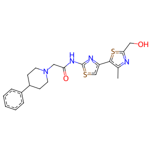 Cc1nc(CO)sc1-c1csc(NC(=O)CN2CCC(c3ccccc3)CC2)n1